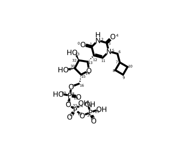 O=c1[nH]c(=O)n(CC2CCC2)cc1[C@@H]1O[C@H](COP(=O)(O)OP(=O)(O)OP(=O)(O)O)[C@@H](O)[C@H]1O